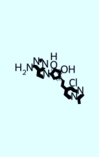 Cc1cnc2c(Cl)c(CC[C@H]3C[C@@H](n4ccc5c(N)ncnc54)[C@H](O)[C@@H]3O)ccn12